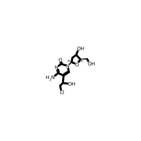 Nc1nc(=O)n([C@H]2CC(O)[C@@H](CO)O2)cc1C(O)CCl